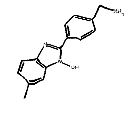 Cc1ccc2nc(-c3ccc(CN)cc3)n(O)c2c1